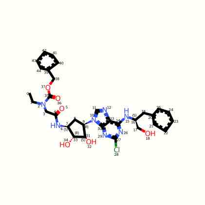 CCN(CC(=O)N[C@H]1C[C@@H](n2cnc3c(N[C@H](CO)Cc4ccccc4)nc(Cl)nc32)[C@H](O)[C@@H]1O)C(=O)OCc1ccccc1